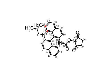 CCCN(CCC)c1ccc2ccccc2c1-c1c(NC(=O)ON2C(=O)CCC2=O)ccc2ccccc12